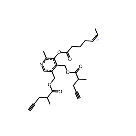 C#CCC(C)C(=O)OCc1cnc(C)c(OC(=O)CCC/C=C\C)c1COC(=O)C(C)CC#C